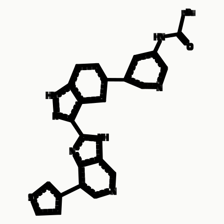 CCCCC(=O)Nc1cncc(-c2ccc3[nH]nc(-c4nc5c(-c6ccsc6)cncc5[nH]4)c3c2)c1